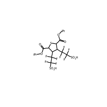 CC(C)OC(=O)C1SC(C(=O)OC(C)C)C(C(F)(F)C(F)(F)S(=O)(=O)O)C1C(F)(F)C(F)(F)S(=O)(=O)O